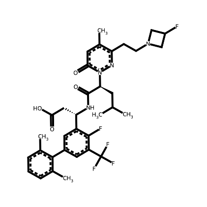 Cc1cc(=O)n([C@@H](CC(C)C)C(=O)N[C@@H](CC(=O)O)c2cc(-c3c(C)cccc3C)cc(C(F)(F)F)c2F)nc1CCN1CC(F)C1